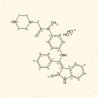 CN(C(=O)CN1CCNCC1)c1ccc(NC(=C2C(=O)Nc3ccccc32)c2ccccc2)cc1.Cl.Cl